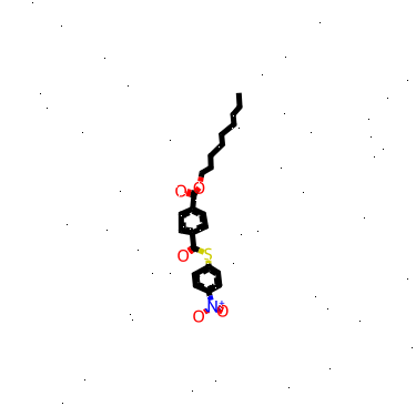 CCCCCCCCCOC(=O)c1ccc(C(=O)Sc2ccc([N+](=O)[O-])cc2)cc1